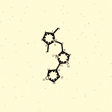 Cc1ccc(C)n1Cc1csc(-c2ccoc2)n1